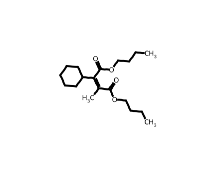 CCCCOC(=O)/C(C)=C(\C(=O)OCCCC)C1CCCCC1